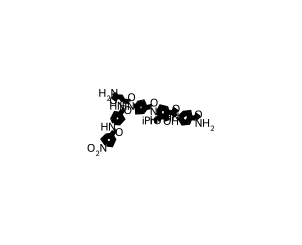 CC(C)Oc1c(NC(=O)c2ccc(NC(=O)C(CC(N)=O)NC(=O)c3ccc(NC(=O)c4ccc([N+](=O)[O-])cc4)cc3)cc2)ccc(C(=O)Nc2ccc(C(N)=O)cc2)c1O